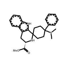 COC(=O)[C@@H]1Cc2c([nH]c3ccccc23)C2(CCC(c3ccccc3)(N(C)C)CC2)N1